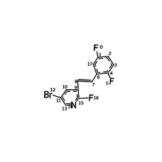 Fc1ccc(F)c(C=Cc2cc(Br)cnc2F)c1